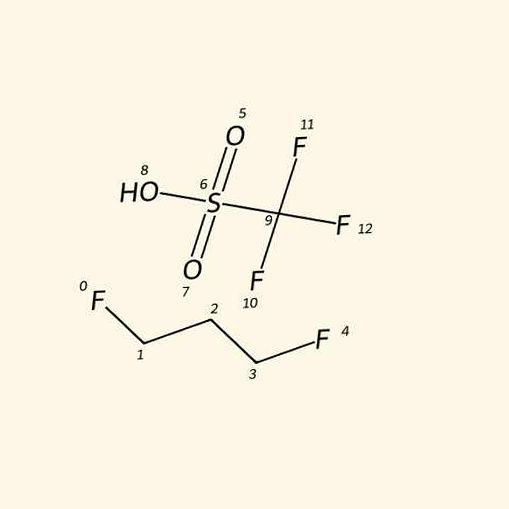 FCCCF.O=S(=O)(O)C(F)(F)F